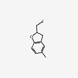 Cc1ccc2c(c1)CC(CI)O2